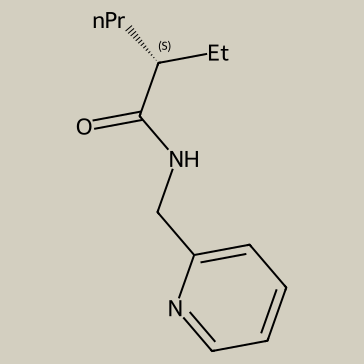 CCC[C@H](CC)C(=O)NCc1ccccn1